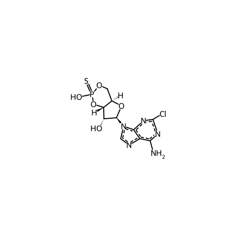 Nc1nc(Cl)nc2c1ncn2[C@@H]1O[C@@H]2COP(O)(=S)O[C@H]2[C@H]1O